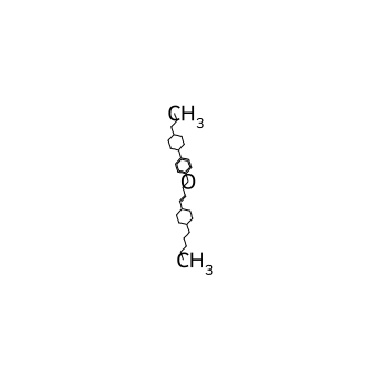 CCCCCC1CCC(C=CCOc2ccc(C3CCC(CCC)CC3)cc2)CC1